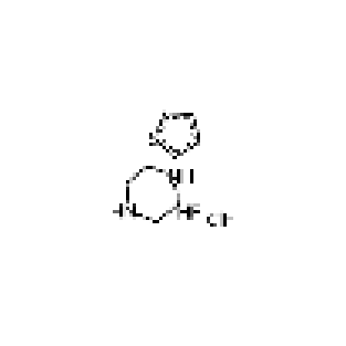 C1CNCCN1.Cl.F.c1ccsc1